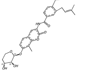 CC(C)=CCc1cc(C(=O)Nc2cc3ccc(O[C@@H]4OCC[C@H](O)[C@@H]4O)c(C)c3oc2=O)ccc1O